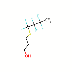 OCCCSC(F)(F)C(F)(F)C(F)(F)C(F)(F)F